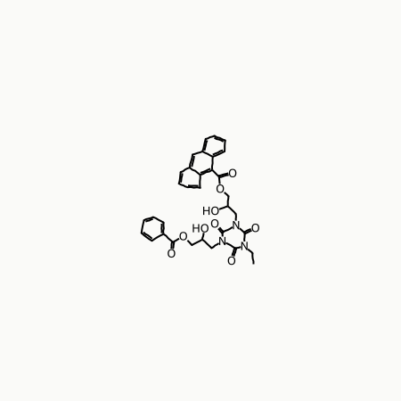 CCn1c(=O)n(CC(O)COC(=O)c2ccccc2)c(=O)n(CC(O)COC(=O)c2c3ccccc3cc3ccccc23)c1=O